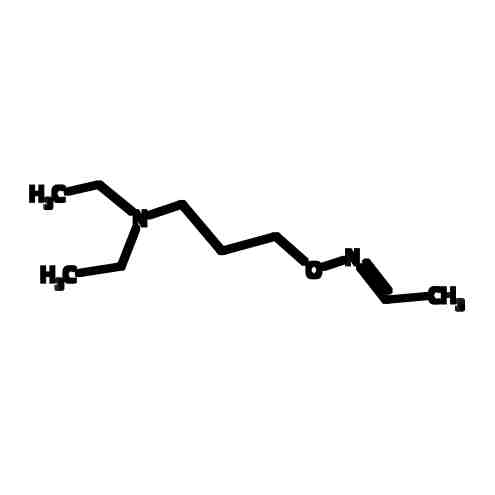 C/C=N/OCCCN(CC)CC